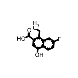 CCc1c(C(=O)O)cc(O)c2ccc(F)cc12